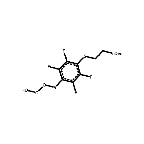 CCCCCCCCCCCCSc1c(F)c(F)c(SOOO)c(F)c1F